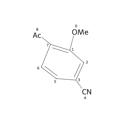 COc1cc(C#N)ccc1C(C)=O